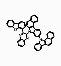 c1ccc2c(c1)ccc1c2c2ccc(-n3c4ccccc4c4ccc5ccccc5c43)cc2n1-c1nc2ccccc2nc1-c1cccc2c1oc1ccccc12